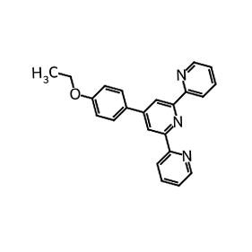 CCOc1ccc(-c2cc(-c3ccccn3)nc(-c3ccccn3)c2)cc1